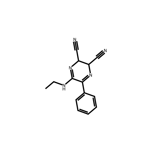 CCNC1=NC(C#N)C(C#N)N=C1c1ccccc1